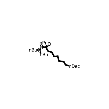 CCCCCCCCCCCCCCCCCC(=O)N(CCC)N(CCCC)CCCC